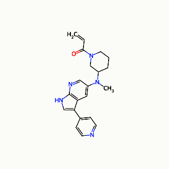 C=CC(=O)N1CCCC(N(C)c2cnc3[nH]cc(-c4ccncc4)c3c2)C1